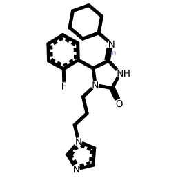 O=C1N/C(=N/C2CCCCC2)C(c2ccccc2F)N1CCCn1ccnc1